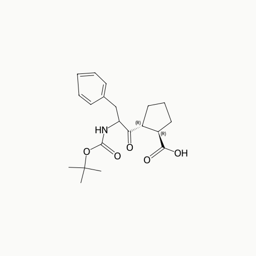 CC(C)(C)OC(=O)NC(Cc1ccccc1)C(=O)[C@@H]1CCC[C@H]1C(=O)O